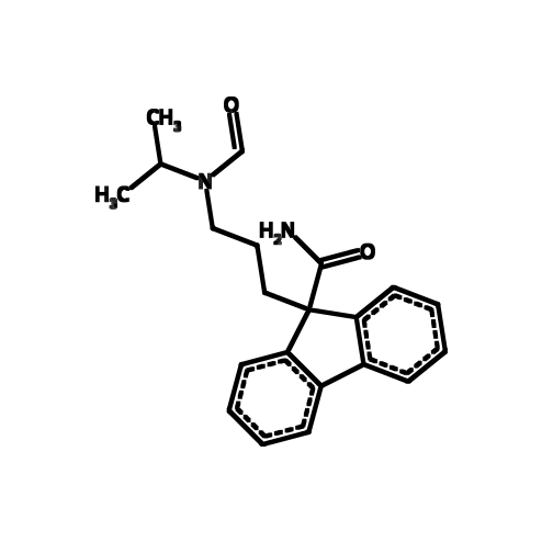 CC(C)N(C=O)CCCC1(C(N)=O)c2ccccc2-c2ccccc21